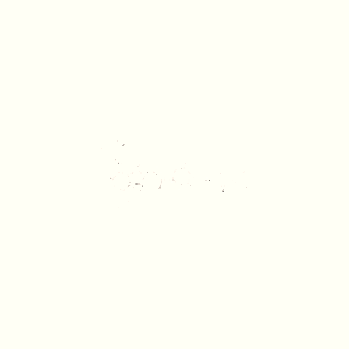 COc1ccc(N2CCOCC2)c2sc(NC(=O)c3ccc(CNCC(=O)C4CC4)cc3)nc12